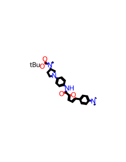 CN(C)c1ccc(-c2ccc(C(=O)Nc3ccc(N4CCC(N(C)C(=O)OC(C)(C)C)C4)cc3)o2)cc1